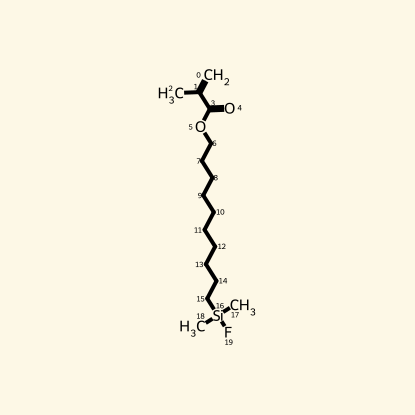 C=C(C)C(=O)OCCCCCCCCCC[Si](C)(C)F